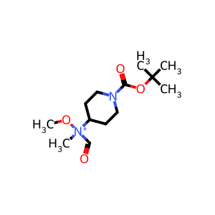 CO[N+](C)(C=O)C1CCN(C(=O)OC(C)(C)C)CC1